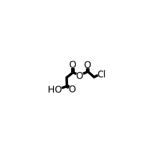 O=C(O)CC(=O)OC(=O)CCl